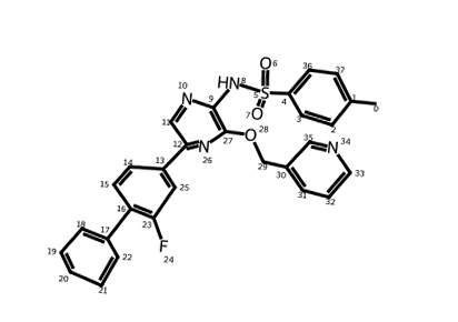 Cc1ccc(S(=O)(=O)Nc2ncc(-c3ccc(-c4ccccc4)c(F)c3)nc2OCc2cccnc2)cc1